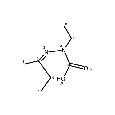 [CH2]CN(N=C(C)CC)C(=O)O